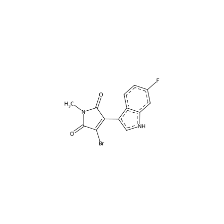 CN1C(=O)C(Br)=C(c2c[nH]c3cc(F)ccc23)C1=O